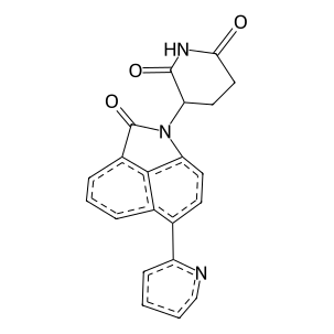 O=C1CCC(N2C(=O)c3cccc4c(-c5ccccn5)ccc2c34)C(=O)N1